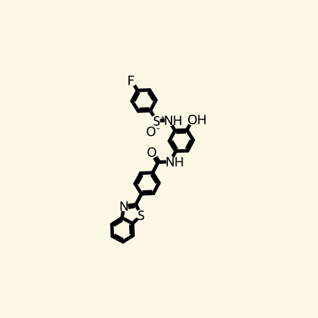 O=C(Nc1ccc(O)c(N[S+]([O-])c2ccc(F)cc2)c1)c1ccc(-c2nc3ccccc3s2)cc1